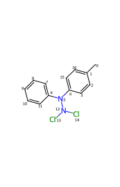 Cc1ccc(N(c2ccccc2)N(Cl)Cl)cc1